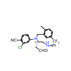 Cc1ccc(C(F)(F)F)cc1CN(c1ccc(C#N)c(Cl)c1)[C@@H](CC=O)CNC(C)C